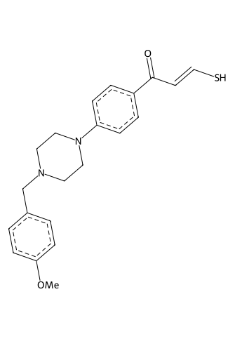 COc1ccc(CN2CCN(c3ccc(C(=O)/C=C/S)cc3)CC2)cc1